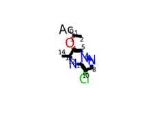 CC(=O)C(C)Oc1cn2ncc(Cl)c2nc1C